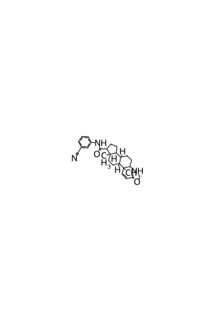 C[C@]12C=CC(=O)NC1CC[C@@H]1[C@H]2CC[C@]2(C)C(C(=O)Nc3cccc(C#N)c3)CC[C@@H]12